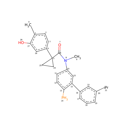 Cc1ccc(C2(C(=O)N(C)c3ccc(P)c(-c4cccc(C(C)C)c4)c3)CC2)cc1O